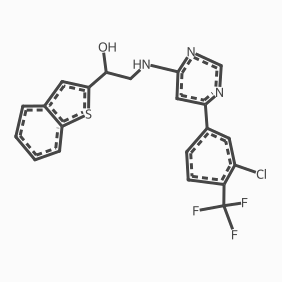 OC(CNc1cc(-c2ccc(C(F)(F)F)c(Cl)c2)ncn1)c1cc2ccccc2s1